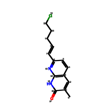 Cc1cc2ccc(C=CCCCCl)nc2[nH]c1=O